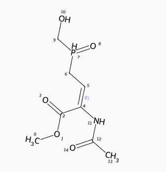 COC(=O)/C(=C\C[PH](=O)CO)NC(C)=O